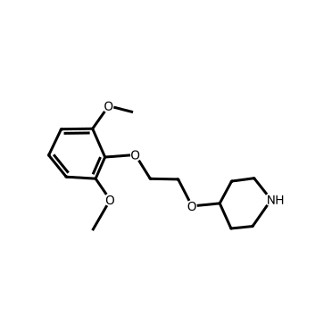 COc1cccc(OC)c1OCCOC1CCNCC1